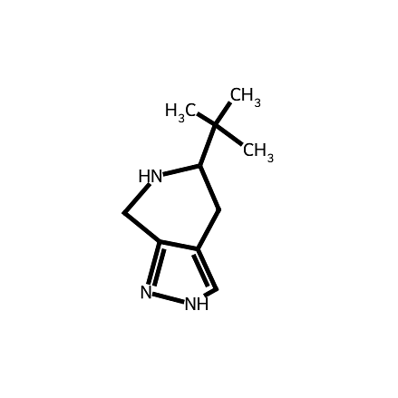 CC(C)(C)C1Cc2c[nH]nc2CN1